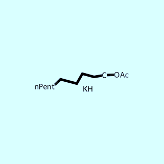 CCCCCCCCCCOC(C)=O.[KH]